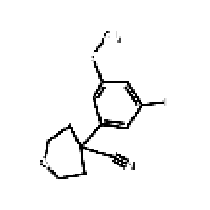 CSc1cc(F)cc(C2(C#N)CCOCC2)c1